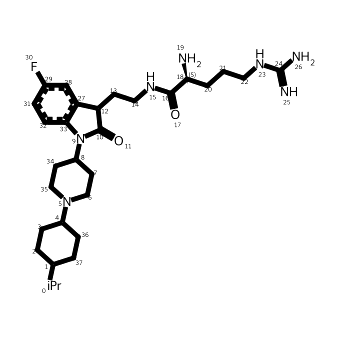 CC(C)C1CCC(N2CCC(N3C(=O)C(CCNC(=O)[C@@H](N)CCCNC(=N)N)c4cc(F)ccc43)CC2)CC1